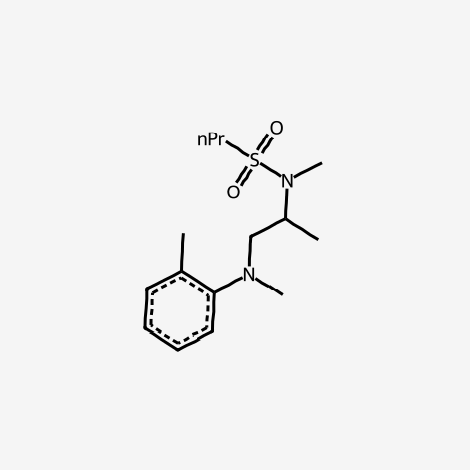 CCCS(=O)(=O)N(C)C(C)CN(C)c1ccccc1C